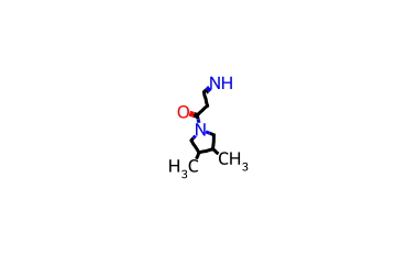 CC1CN(C(=O)CC=N)CC1C